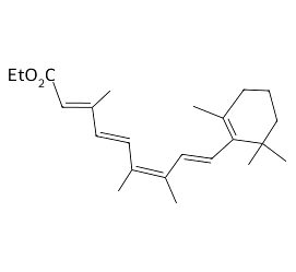 CCOC(=O)/C=C(C)/C=C/C(C)=C(C)\C=C\C1=C(C)CCCC1(C)C